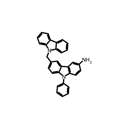 Nc1ccc2c(c1)c1cc(Cn3c4ccccc4c4ccccc43)ccc1n2-c1ccccc1